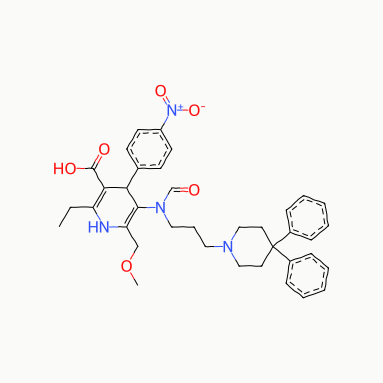 CCC1=C(C(=O)O)C(c2ccc([N+](=O)[O-])cc2)C(N(C=O)CCCN2CCC(c3ccccc3)(c3ccccc3)CC2)=C(COC)N1